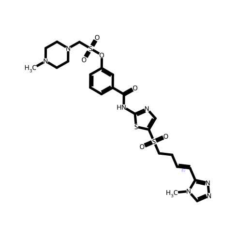 CN1CCN(CS(=O)(=O)Oc2cccc(C(=O)Nc3ncc(S(=O)(=O)CC/C=C/c4nncn4C)s3)c2)CC1